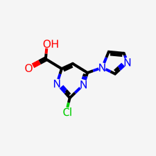 O=C(O)c1cc(-n2ccnc2)nc(Cl)n1